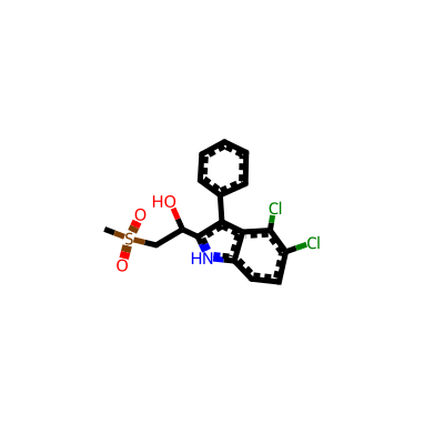 CS(=O)(=O)CC(O)c1[nH]c2ccc(Cl)c(Cl)c2c1-c1ccccc1